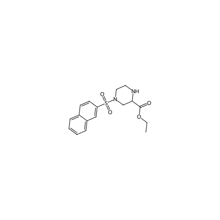 CCOC(=O)C1CN(S(=O)(=O)c2ccc3ccccc3c2)CCN1